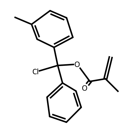 C=C(C)C(=O)OC(Cl)(c1ccccc1)c1cccc(C)c1